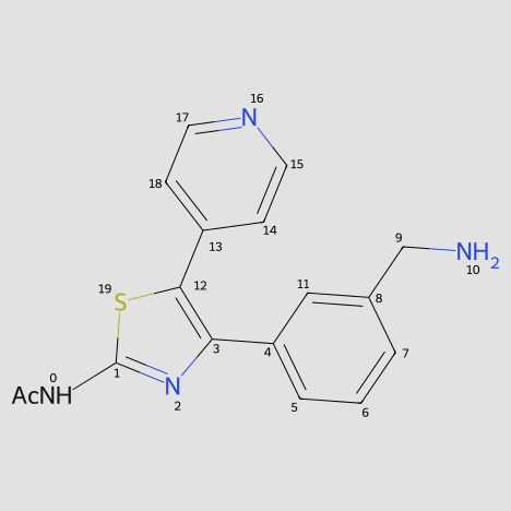 CC(=O)Nc1nc(-c2cccc(CN)c2)c(-c2ccncc2)s1